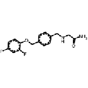 NC(=O)CNCc1ccc(COc2ccc(F)cc2F)cc1